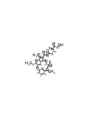 CCc1nc2c(cc1Oc1cccc(OC)c1)c(OCC(F)(F)F)c(C(=O)NC1CCN(C(=O)CO)CC1)n2C